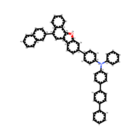 c1ccc(-c2ccc(-c3ccc(N(c4ccccc4)c4ccc(-c5ccc6c(c5)oc5c7ccccc7c(-c7ccc8ccccc8c7)cc65)cc4)cc3)cc2)cc1